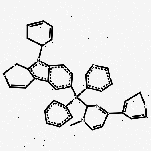 CN1C=CC(C2=CCCC=C2)=NC1[Si](c1ccccc1)(c1ccccc1)c1ccc2c(c1)c1c(n2C2C=CC=CC2)CCC=C1